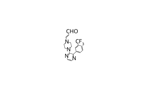 O=CC=CN1CCN(c2nccnc2-c2cccc(C(F)(F)F)c2)CC1